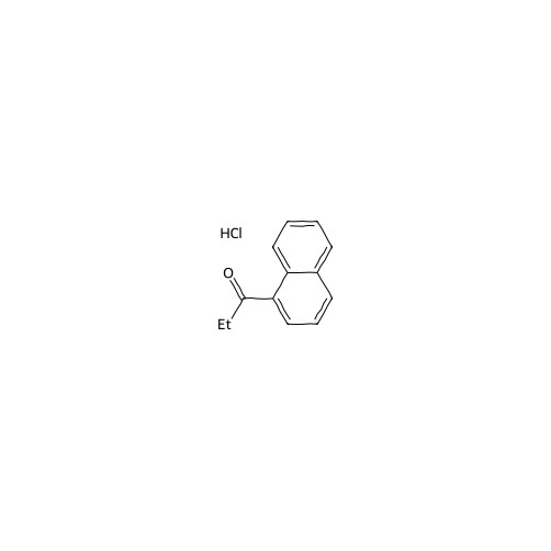 CCC(=O)c1cccc2ccccc12.Cl